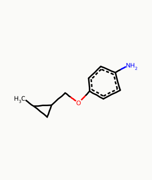 CC1CC1COc1ccc(N)cc1